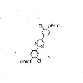 CCCCCc1ccc(-c2cnc(-c3ccc(CCCCC)c(Cl)c3)nc2)cc1Cl